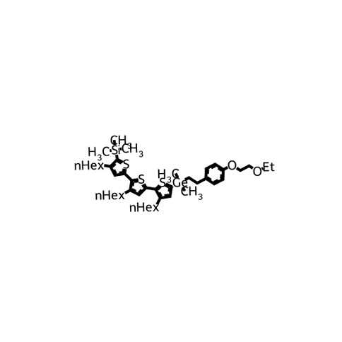 CCCCCCc1cc(-c2s[c]([Ge]([CH3])([CH3])[CH2]Cc3ccc(OCCOCC)cc3)cc2CCCCCC)sc1-c1cc(CCCCCC)c([Si](C)(C)C)s1